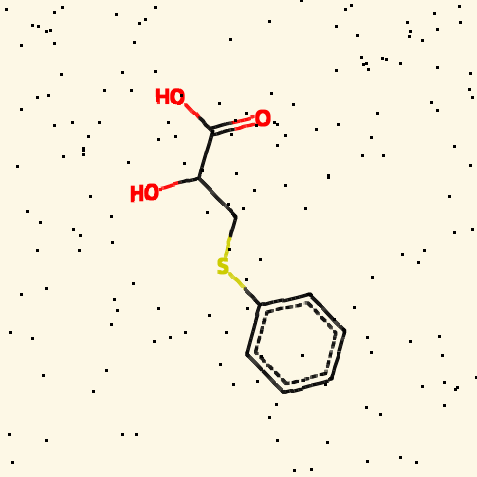 O=C(O)C(O)CSc1ccccc1